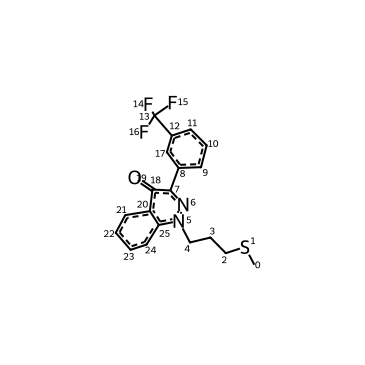 CSCCCn1nc(-c2cccc(C(F)(F)F)c2)c(=O)c2ccccc21